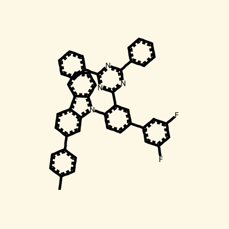 Cc1ccc(-c2ccc3c4ccccc4n(-c4ccc(-c5cc(F)cc(F)c5)cc4-c4nc(-c5ccccc5)nc(-c5ccccc5)n4)c3c2)cc1